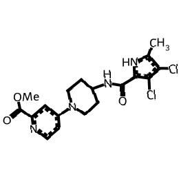 COC(=O)c1cc(N2CCC(NC(=O)c3[nH]c(C)c(Cl)c3Cl)CC2)ccn1